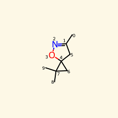 CC1=NOC2(C1)CC2(C)C